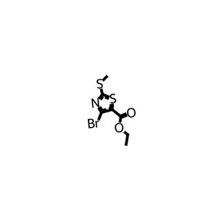 CCOC(=O)c1sc(SC)nc1Br